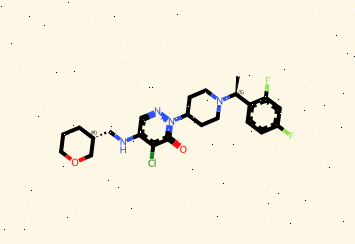 C[C@@H](c1ccc(F)cc1F)N1CCC(n2ncc(NC[C@H]3CCCOC3)c(Cl)c2=O)CC1